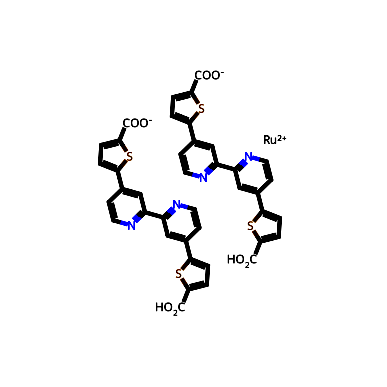 O=C([O-])c1ccc(-c2ccnc(-c3cc(-c4ccc(C(=O)O)s4)ccn3)c2)s1.O=C([O-])c1ccc(-c2ccnc(-c3cc(-c4ccc(C(=O)O)s4)ccn3)c2)s1.[Ru+2]